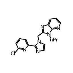 CCCn1c(Cn2ccnc2-c2cccc(Cl)n2)nc2cccnc21